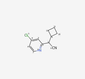 N#CC(c1cc(Cl)ccn1)C1CCC1